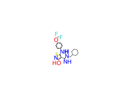 N=C(NCC1CCCCC1)c1c(O)nsc1Nc1ccc(OC(F)F)cc1